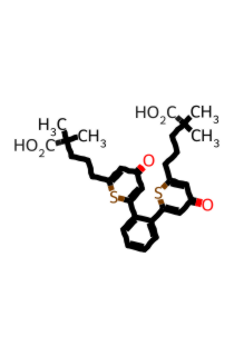 CC(C)(CCCc1cc(=O)cc(-c2ccccc2-c2cc(=O)cc(CCCC(C)(C)C(=O)O)s2)s1)C(=O)O